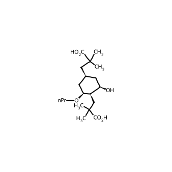 CCCO[C@H]1C[C@@H](CC(C)(C)C(=O)O)C[C@@H](O)[C@H]1CC(C)(C)C(=O)O